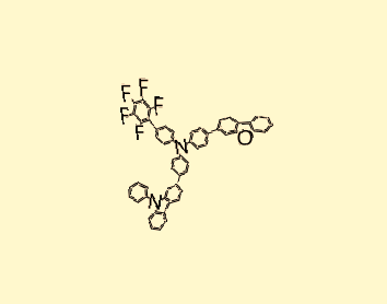 Fc1c(F)c(F)c(-c2ccc(N(c3ccc(-c4ccc5c(c4)oc4ccccc45)cc3)c3ccc(-c4ccc5c6ccccc6n(-c6ccccc6)c5c4)cc3)cc2)c(F)c1F